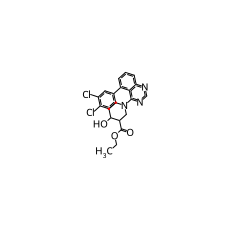 CCOC(=O)C1CN(c2ncnc3cccc(-c4ccc(Cl)c(Cl)c4)c23)CCC1O